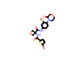 O=C(NC1(C(=O)Nc2ccc(N3CCOCC3=O)c(Br)c2)COC1)c1ccc(Br)s1